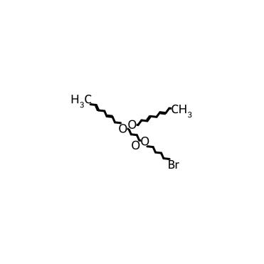 CC/C=C/CC=CCCOC(CCC(=O)OCCCCCCBr)OCC/C=C/C/C=C/CC